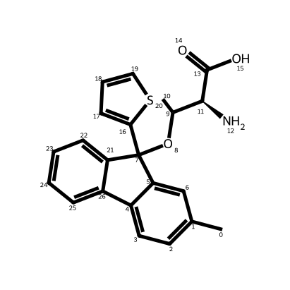 Cc1ccc2c(c1)C(OC(C)[C@H](N)C(=O)O)(c1cccs1)c1ccccc1-2